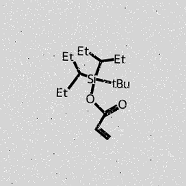 C=CC(=O)O[Si](C(CC)CC)(C(CC)CC)C(C)(C)C